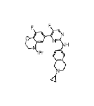 CC(C)N1CCOc2c(F)cc(-c3nc(Nc4ccc5c(c4)CCN(C4CC4)C5)ncc3F)cc21